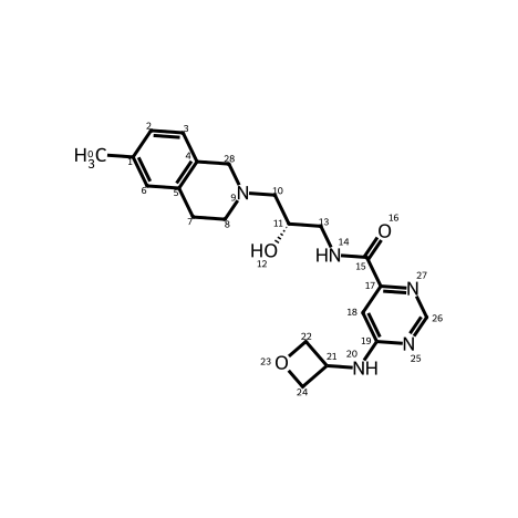 Cc1ccc2c(c1)CCN(C[C@@H](O)CNC(=O)c1cc(NC3COC3)ncn1)C2